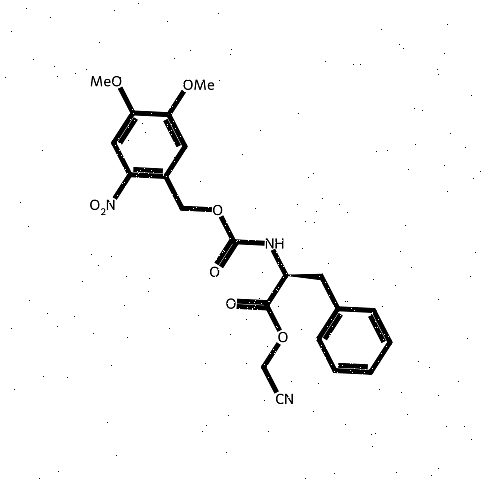 COc1cc(COC(=O)N[C@@H](Cc2ccccc2)C(=O)OCC#N)c([N+](=O)[O-])cc1OC